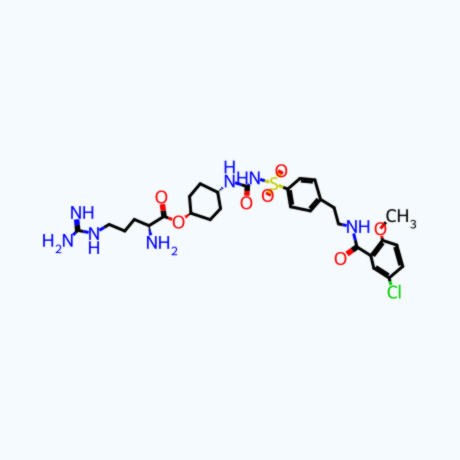 COc1ccc(Cl)cc1C(=O)NCCc1ccc(S(=O)(=O)NC(=O)N[C@H]2CC[C@H](OC(=O)[C@@H](N)CCCNC(=N)N)CC2)cc1